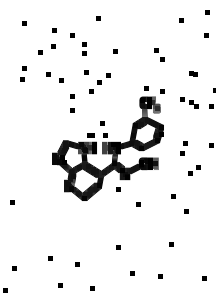 O/N=C(\Nc1cccc(C(F)(F)F)c1)c1ccnc2nc[nH]c12